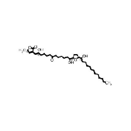 CCCCCCCCCCCC[C@H](O)[C@@H]1CC[C@H]([C@H](O)CCCCCC(=O)CCCC[C@@H](O)CC2=C[C@H](C)OC2=O)O1